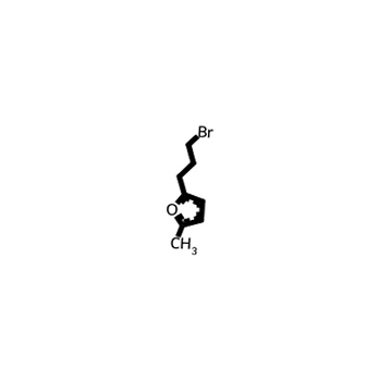 Cc1ccc(CCCBr)o1